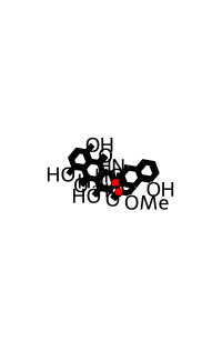 COC1C(=O)C(C)C2(O)C3Nc4c(cc(O)c5c4C(=O)c4c(O)ccc(O)c4C5=O)C2(O)C1c1c(O)cccc13